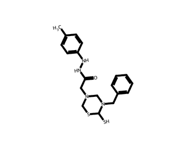 Cc1ccc(NNC(=O)CN2CSC(S)N(Cc3ccccc3)C2)cc1